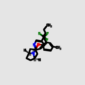 CCCCc1cc(C)ccc1O[C@H]1C[C@H]2CC[C@@H](C1)N2c1ccc(C(F)(F)F)cn1